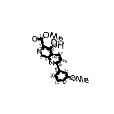 COC(=O)c1ncc2nc(-c3cccc(OC)c3)ccc2c1O